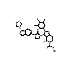 Cc1cc(-n2nc3c(c2-n2ccn(-c4ccc5c(cnn5[C@@H]5CCOC5)c4)c2=O)[C@H](C)N(C(=O)OC(C)(C)C)CC3)cc(C)c1F